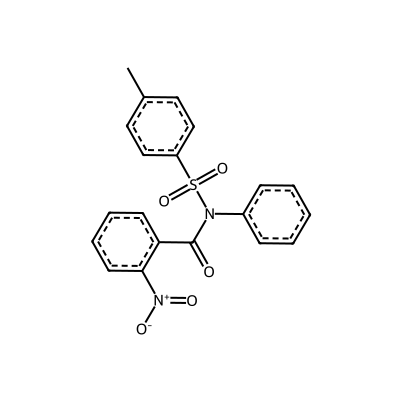 Cc1ccc(S(=O)(=O)N(C(=O)c2ccccc2[N+](=O)[O-])c2ccccc2)cc1